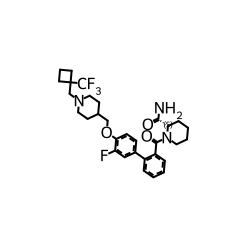 NC(=O)[C@@H]1CCCCN1C(=O)c1ccccc1-c1ccc(OCC2CCN(CC3(C(F)(F)F)CCC3)CC2)c(F)c1